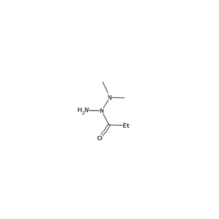 CCC(=O)N(N)N(C)C